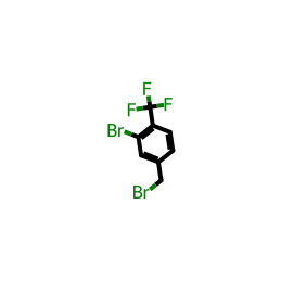 FC(F)(F)c1ccc(CBr)cc1Br